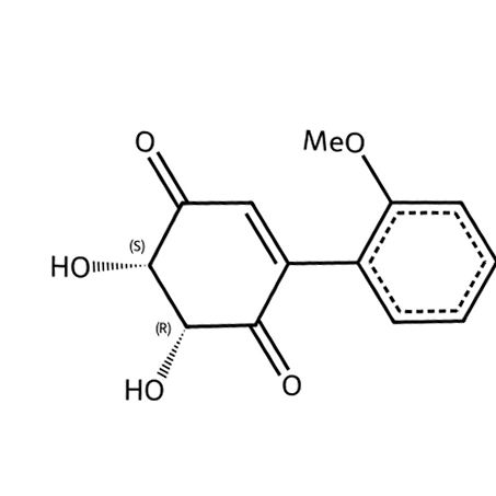 COc1ccccc1C1=CC(=O)[C@@H](O)[C@@H](O)C1=O